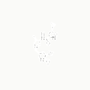 COc1ncc(CN2C[C@@H](C)[C@@H](NC(=O)c3cc(C4CC4)on3)C2)cc1Br